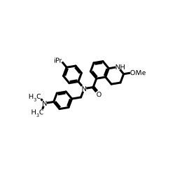 COC1CCc2c(cccc2C(=O)N(Cc2ccc(N(C)C)cc2)c2ccc(C(C)C)cc2)N1